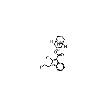 CN1[C@@H]2CCC[C@H]1C[C@H](OC(=O)c1c(Cl)n(CCF)c3ccccc13)C2